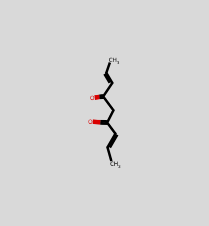 CC=CC(=O)CC(=O)C=CC